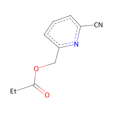 CCC(=O)OCc1cccc(C#N)n1